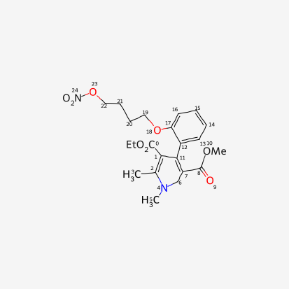 CCOC(=O)C1=C(C)N(C)CC(C(=O)OC)=C1c1ccccc1OCCCCO[N+](=O)[O-]